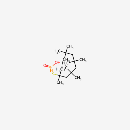 CC(C)(C)CC(C)(C)CC(C)(C)CC(C)(C)S[PH](=O)O